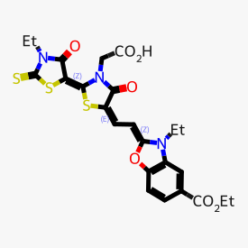 CCOC(=O)c1ccc2c(c1)N(CC)/C(=C/C=c1/s/c(=C3\SC(=S)N(CC)C3=O)n(CC(=O)O)c1=O)O2